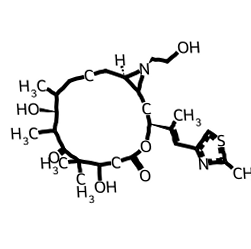 C/C(=C\c1csc(C)n1)[C@@H]1CC2[C@@H](CCCC(C)[C@H](O)C(C)C(=O)C(C)(C)C(O)CC(=O)O1)[N@@]2CCO